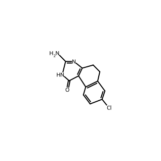 Nc1nc2c(c(=O)[nH]1)-c1ccc(Cl)cc1CC2